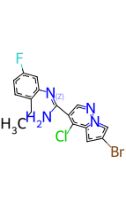 CCc1ccc(F)cc1/N=C(\N)c1cnn2cc(Br)cc2c1Cl